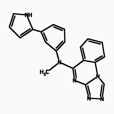 CN(c1cccc(-c2ccc[nH]2)c1)c1nc2nncn2c2ccccc12